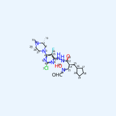 C[C@@H]1CN(c2nc(Cl)nc(NNC(=O)[C@@H](CC3CCCC3)CN(O)C=O)c2F)C[C@H](C)N1C